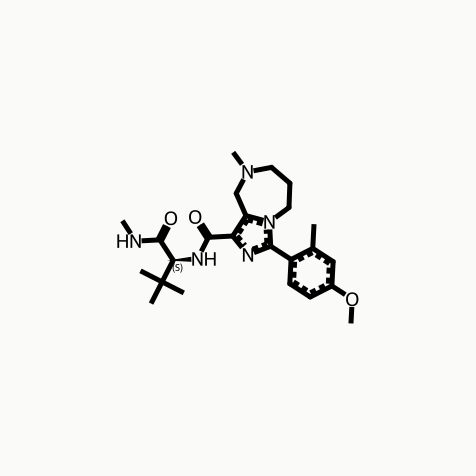 CNC(=O)[C@@H](NC(=O)c1nc(-c2ccc(OC)cc2C)n2c1CN(C)CCC2)C(C)(C)C